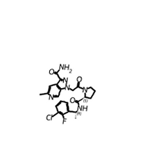 Cc1cc2c(C(N)=O)nn(CC(=O)N3CCC[C@H]3C(=O)N[C@H](C)c3cccc(Cl)c3F)c2cn1